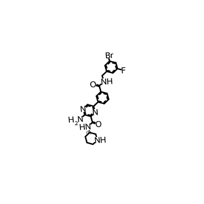 Nc1ncc(-c2cccc(C(=O)NCc3cc(F)cc(Br)c3)c2)nc1C(=O)N[C@H]1CCCNC1